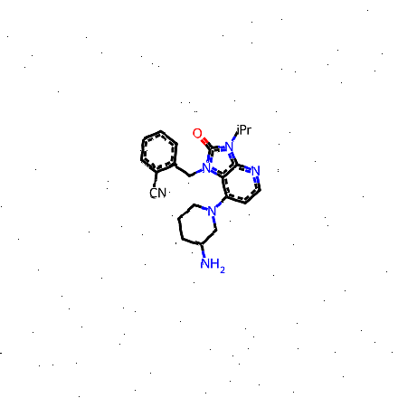 CC(C)n1c(=O)n(Cc2ccccc2C#N)c2c(N3CCCC(N)C3)ccnc21